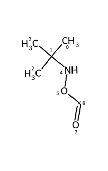 CC(C)(C)NO[C]=O